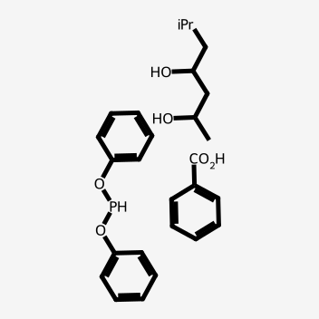 CC(C)CC(O)CC(C)O.O=C(O)c1ccccc1.c1ccc(OPOc2ccccc2)cc1